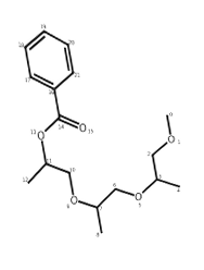 COCC(C)OCC(C)OCC(C)OC(=O)c1ccccc1